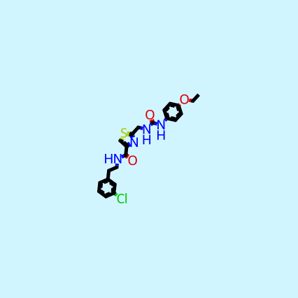 CCOc1ccc(NC(=O)NCc2nc(C(=O)NCCc3cccc(Cl)c3)cs2)cc1